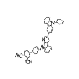 N#Cc1ccc(-c2ccc(-n3c4ccccc4c4cc(-c5ccc6c(c5)c5ccccc5n6-c5ccccc5)cnc43)cc2)cc1C#N